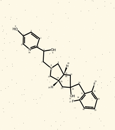 Oc1ccc(C(O)CN2C[C@@H]3CC(O)(Cc4c(F)cccc4F)C[C@@H]3C2)nc1